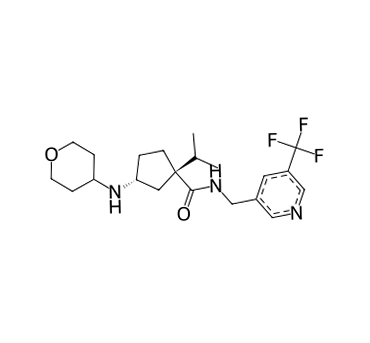 CC(C)[C@]1(C(=O)NCc2cncc(C(F)(F)F)c2)CC[C@@H](NC2CCOCC2)C1